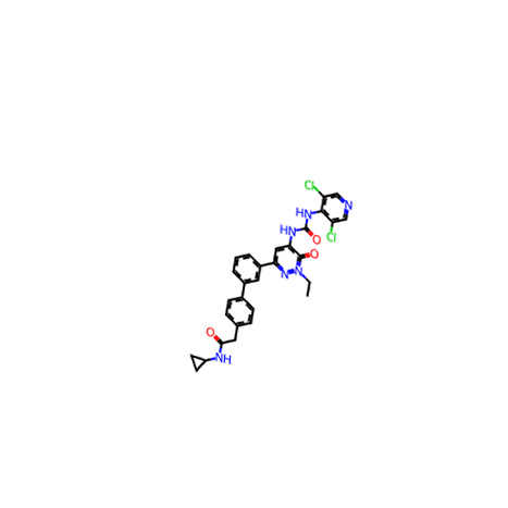 CCn1nc(-c2cccc(-c3ccc(CC(=O)NC4CC4)cc3)c2)cc(NC(=O)Nc2c(Cl)cncc2Cl)c1=O